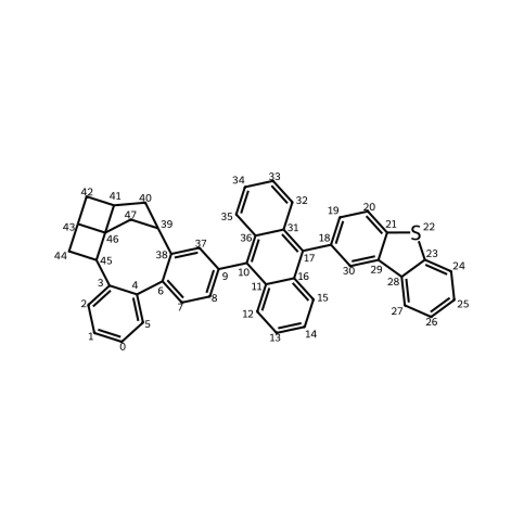 c1ccc2c(c1)-c1ccc(-c3c4ccccc4c(-c4ccc5sc6ccccc6c5c4)c4ccccc34)cc1C1CC3CC4CC2C34C1